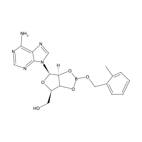 Cc1ccccc1COB1OC2[C@@H](CO)O[C@@H](n3cnc4c(N)ncnc43)[C@H]2O1